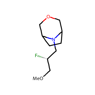 COC[C@H](F)CN1C2CCC1COC2